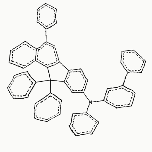 c1ccc(-c2cccc(N(c3ccccc3)c3ccc4c(c3)C(c3ccccc3)(c3ccccc3)c3c-4cc(-c4ccccc4)c4ccccc34)c2)cc1